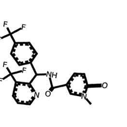 Cn1cc(C(=O)NC(c2ccc(C(F)(F)F)cc2)c2ncccc2C(F)(F)F)ccc1=O